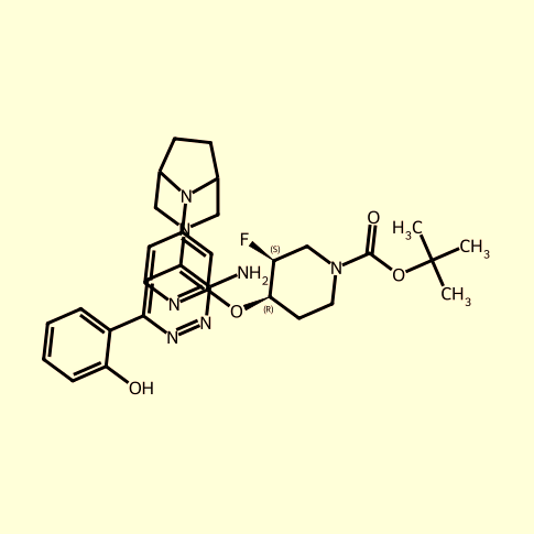 CC(C)(C)OC(=O)N1CC[C@@H](Oc2cc(N3C4CCC3CN(c3cc(-c5ccccc5O)nnc3N)C4)ccn2)[C@@H](F)C1